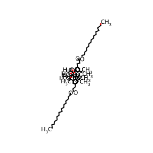 CCCCCCCCCCCCCCCCCCOC(=O)CCc1cc(C(C)(C)C)c(OC(c2c(C(C)(C)C)cc(CCC(=O)OCCCCCCCCCCCCCCCCCC)cc2C(C)(C)C)C(CO)(CO)CO)c(C(C)(C)C)c1